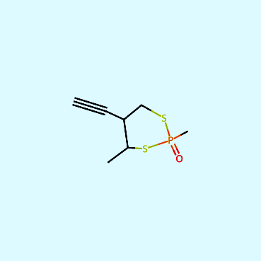 C#CC1CSP(C)(=O)SC1C